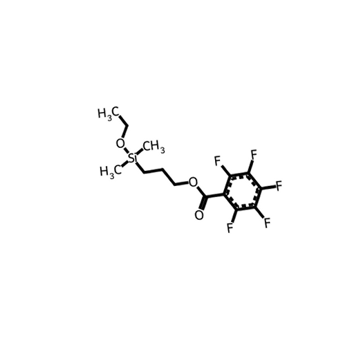 CCO[Si](C)(C)CCCOC(=O)c1c(F)c(F)c(F)c(F)c1F